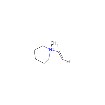 CCC=C[N+]1(C)CCCCC1